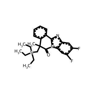 CC[Si](CC)(CC)CC1(C)C(=O)n2c(nc3cc(F)c(F)cc32)-c2ccccc21